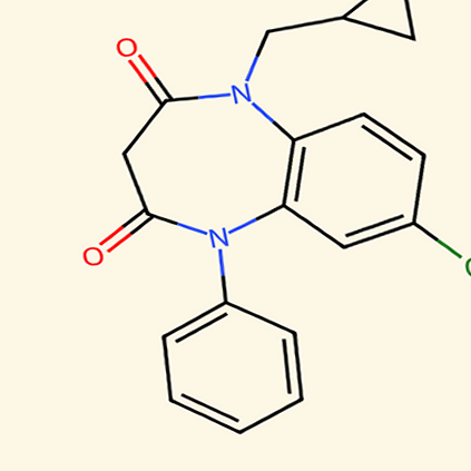 O=C1CC(=O)N(c2ccccc2)c2cc(Cl)ccc2N1CC1CC1